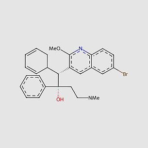 CNCC[C@@](O)(c1ccccc1)[C@@H](c1cc2cc(Br)ccc2nc1OC)C1C=CC=CC1